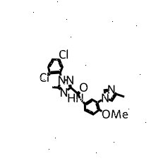 COc1ccc(NC(=O)c2nc(C)n(-c3cc(Cl)ccc3Cl)n2)cc1-n1cnc(C)c1